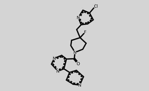 O=C(c1cncnc1-c1ccncc1)N1CCC(F)(Cc2ccc(Cl)cn2)CC1